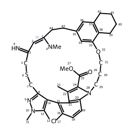 CN/C1=C\C(=N)CSCc2nn(C)c(C)c2-c2c(Cl)ccc3c2c(C)c(C(=O)OC)n3CCCOc2cc(cc3c2CCCC3)CC1